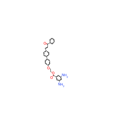 Nc1cc(N)cc(C(=O)OCCOc2ccc(-c3ccc(C=CC(=O)c4ccccc4)cc3)cc2)c1